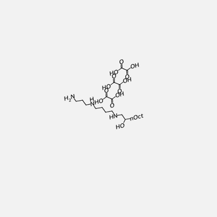 CCCCCCCCC(O)CNCCCCNCCCN.O=C(O)C(=O)O.O=C(O)C(=O)O.O=C(O)C(=O)O